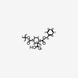 CC(C)(C)OC(=O)N1CCN(C(=O)OCc2ccccc2)C(C)(C(=O)O)C1